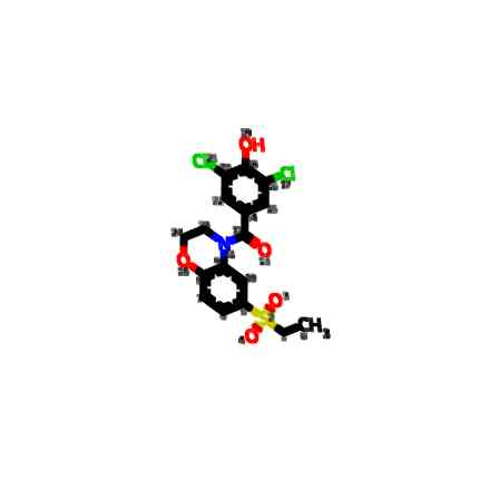 CCS(=O)(=O)c1ccc2c(c1)N(C(=O)c1cc(Cl)c(O)c(Cl)c1)CCO2